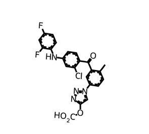 Cc1ccc(-n2cc(OC(=O)O)nn2)cc1C(=O)c1ccc(Nc2ccc(F)cc2F)cc1Cl